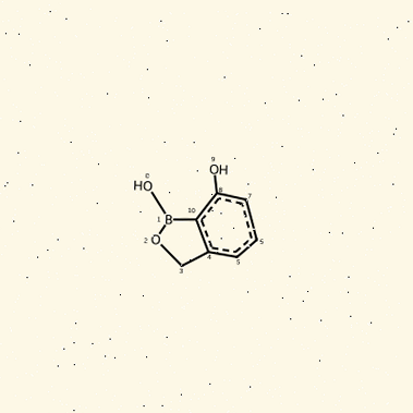 OB1OCc2cccc(O)c21